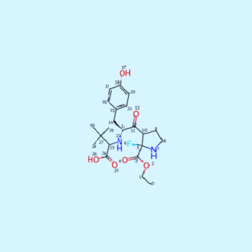 CCOC(=O)[C@@]1(F)NCCC1C(=O)[C@H](Cc1ccc(O)cc1)NC(C(=O)O)C(C)(C)C